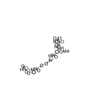 CC[C@@H]1C(=O)N(C)c2cnc(Nc3ccc(C(=O)NC4CCN(CCOCCOCCC(=O)Nc5cccc6c5CC(C5CCC(=O)NC5=O)C6=O)CC4)cc3OC)nc2N1C1CCCC1